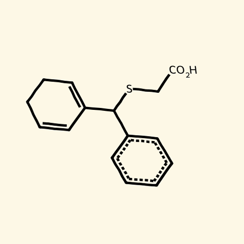 O=C(O)CSC(C1=CCCC=C1)c1ccccc1